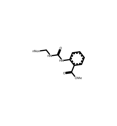 CCCCCCCCCCNC(=O)Nc1ccccc1C(=O)OC